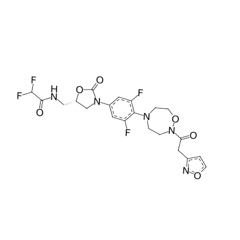 O=C(NC[C@H]1CN(c2cc(F)c(N3CCON(C(=O)Cc4ccon4)CC3)c(F)c2)C(=O)O1)C(F)F